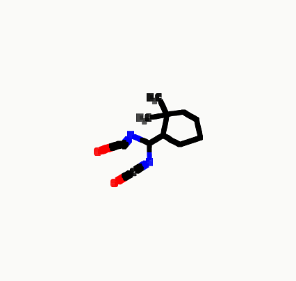 CC1(C)CCCCC1C(N=C=O)N=C=O